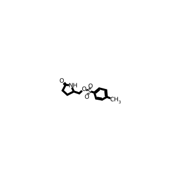 Cc1ccc(S(=O)(=O)OCC2CCC(=O)N2)cc1